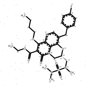 CCCCOc1c(C(=O)OCC)c(=O)n2c3c(c(Cc4ccc(F)cc4)cnc13)O[C@H](CN(C)S(=O)(=O)N(C)C)C2